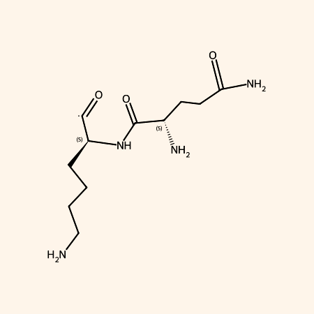 NCCCC[C@@H]([C]=O)NC(=O)[C@@H](N)CCC(N)=O